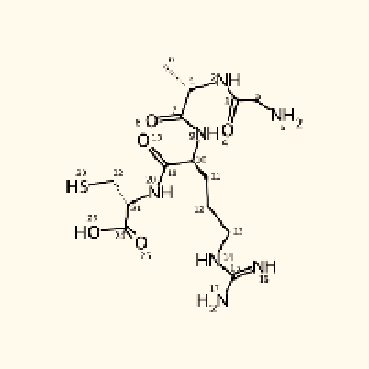 C[C@H](NC(=O)CN)C(=O)N[C@@H](CCCNC(=N)N)C(=O)N[C@@H](CS)C(=O)O